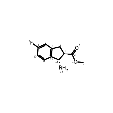 COC(=O)[C@@H]1Cc2cc(F)ccc2[C@H]1N